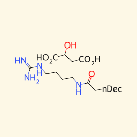 CCCCCCCCCCCC(=O)NCCCCNC(=N)N.O=C(O)CC(O)C(=O)O